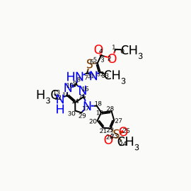 CCOC(=O)c1sc(Nc2nc(NC)c3c(n2)N(Cc2ccc(S(C)(=O)=O)cc2)CC3)nc1C